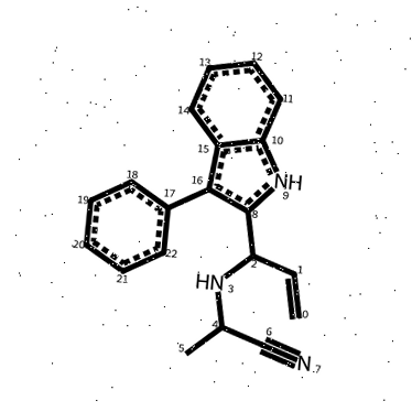 C=CC(NC(C)C#N)c1[nH]c2ccccc2c1-c1ccccc1